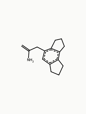 C=C(N)Cc1cc2c(c3c1CCC3)CCC2